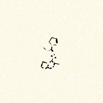 CCN/C(=N\S(=O)(=O)c1c(Cl)nc2sccn12)N1C[C@H](CC)C=N1